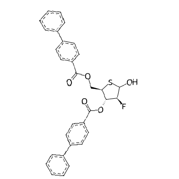 O=C(OC[C@H]1SC(O)[C@@H](F)[C@@H]1OC(=O)c1ccc(-c2ccccc2)cc1)c1ccc(-c2ccccc2)cc1